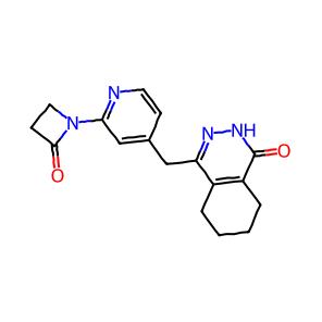 O=C1CCN1c1cc(Cc2n[nH]c(=O)c3c2CCCC3)ccn1